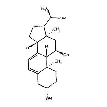 C[C@@H](O)[C@H]1CC[C@H]2C3=CC=C4C[C@@H](O)CC[C@]4(C)[C@H]3[C@H](O)C[C@]12C